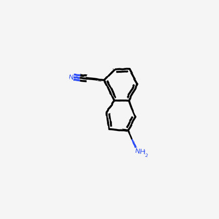 N#Cc1[c]ccc2cc(N)ccc12